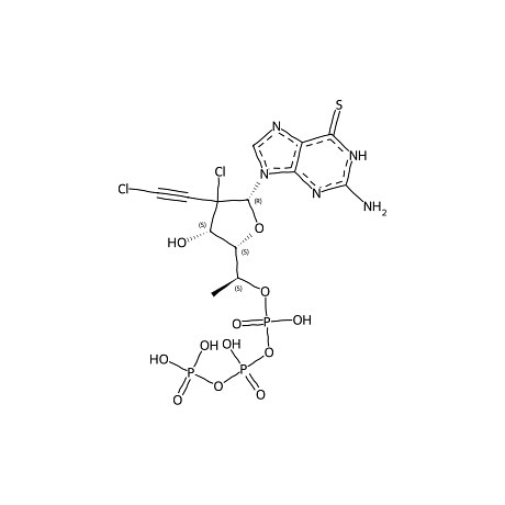 C[C@H](OP(=O)(O)OP(=O)(O)OP(=O)(O)O)[C@H]1O[C@@H](n2cnc3c(=S)[nH]c(N)nc32)C(Cl)(C#CCl)[C@H]1O